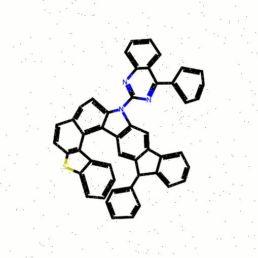 c1ccc(-c2nc(-n3c4cc5c(cc4c4c6c(ccc7sc8ccccc8c76)ccc43)C(c3ccccc3)c3ccccc3-5)nc3ccccc23)cc1